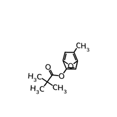 Cc1cc2oc1cc2OC(=O)C(C)(C)C